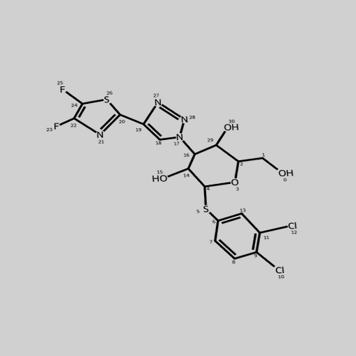 OCC1OC(Sc2ccc(Cl)c(Cl)c2)C(O)C(n2cc(-c3nc(F)c(F)s3)nn2)C1O